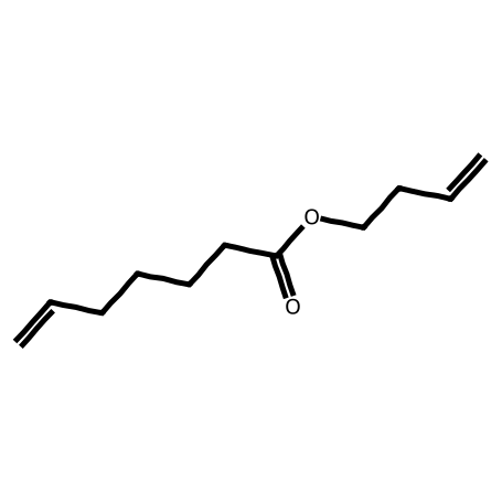 C=CCCCCC(=O)OCCC=C